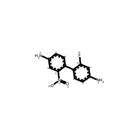 Nc1ccc(-c2ccc(N)cc2[N+](=O)[O-])c(F)c1